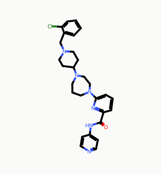 O=C(Nc1ccncc1)c1cccc(N2CCCN(C3CCN(Cc4ccccc4Cl)CC3)CC2)n1